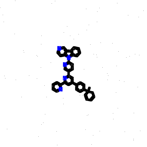 CC1(c2ccc(-c3cc(-c4ccc(-n5c6ccccc6c6cnccc65)nc4)nc(-c4ccccn4)c3)cc2)C=CC=CC1